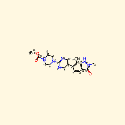 CC1CN(c2ncc(-c3ccc4c(=O)n(C)[nH]c4c3C#N)cn2)CCN1C(=O)OC(C)(C)C